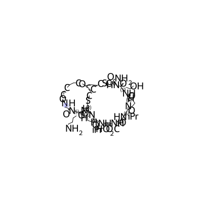 CC(C)C[C@@H]1NC(=O)[C@@H]2CCCN2C(=O)[C@@H]2CSCc3cc(cc(c3)OCCCCCCO/N=C/C(=O)N[C@@H](CCCCN)C(=O)N2)CSC[C@@H](C(N)=O)NC(=O)[C@H](CCO)NC(=O)[C@@H]2CCCN2C(=O)[C@H](C(C)C)NC(=O)[C@H](CC(=O)O)NC1=O